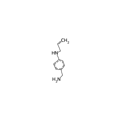 C=CCNc1ccc(CN)cc1